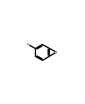 Fc1ccc2c(c1)S2